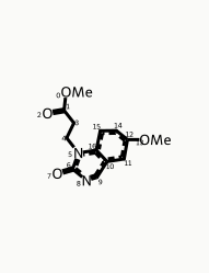 COC(=O)CCn1c(=O)ncc2cc(OC)ccc21